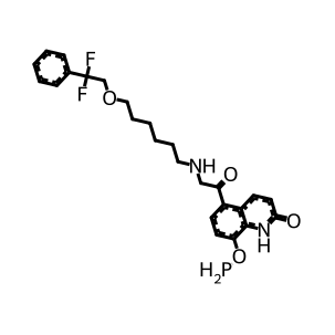 O=C(CNCCCCCCOCC(F)(F)c1ccccc1)c1ccc(OP)c2[nH]c(=O)ccc12